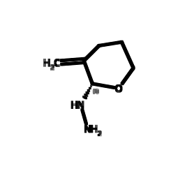 C=C1CCCO[C@@H]1NN